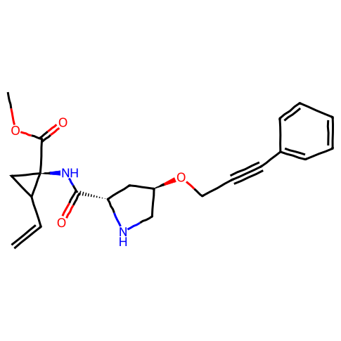 C=CC1C[C@]1(NC(=O)[C@@H]1C[C@@H](OCC#Cc2ccccc2)CN1)C(=O)OC